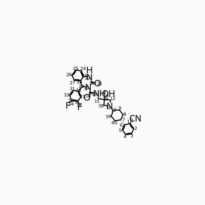 N#Cc1ccccc1[C@H]1CC[C@H](N2CC(O)(CNC(=O)N3C(=O)Nc4ccccc4C3c3ccc(F)c(F)c3)C2)CC1